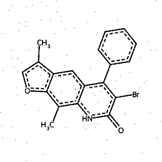 Cc1coc2c(C)c3[nH]c(=O)c(Br)c(-c4ccccc4)c3cc12